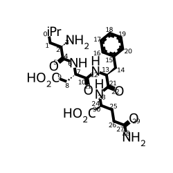 CC(C)C[C@H](N)C(=O)N[C@@H](CC(=O)O)C(=O)N[C@@H](Cc1ccccc1)C(=O)N[C@@H](CCC(N)=O)C(=O)O